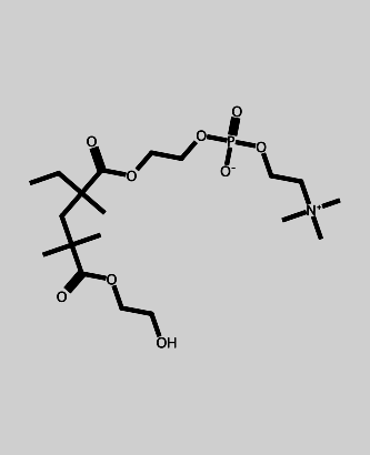 CCC(C)(CC(C)(C)C(=O)OCCO)C(=O)OCCOP(=O)([O-])OCC[N+](C)(C)C